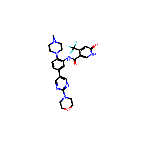 CN1CCN(c2ccc(-c3cnc(N4CCOCC4)nc3)cc2NC(=O)c2c[nH]c(=O)cc2C(F)(F)F)CC1